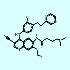 CCOc1cc2ncc(C#N)c(Nc3ccc(CCc4ccccn4)c(Cl)c3)c2cc1NC(=O)CCCN(C)C